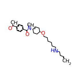 C=CCCNCCCCCCO[C@H]1CC[C@H](N(C)C(=O)c2ccc(C(C)=O)cc2)CC1